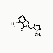 Cc1cccc2c1C(=O)N(Cc1nccn1C)C2